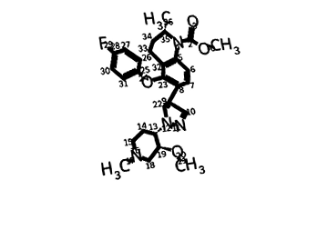 COC(=O)N1c2ccc(-c3cnn([C@H]4CCN(C)C[C@@H]4OC)c3)c(Oc3ccc(F)cc3)c2CC[C@@H]1C